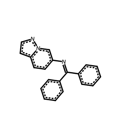 c1ccc(C(=Nc2ccc3ccnn3c2)c2ccccc2)cc1